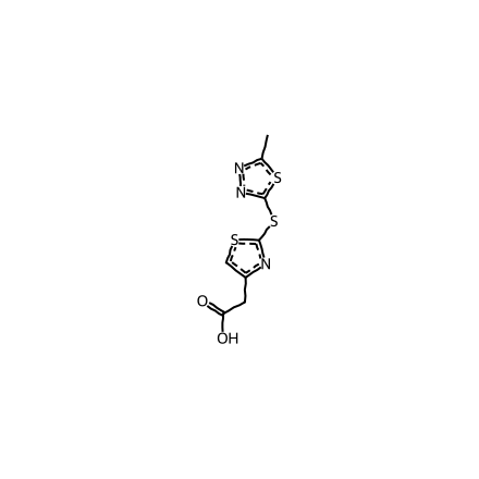 Cc1nnc(Sc2nc(CC(=O)O)cs2)s1